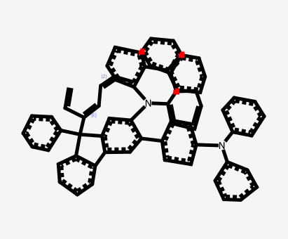 C=C/C(=C\C=C/C)C1(c2ccccc2)c2ccccc2-c2cc(-c3ccc(N(c4ccccc4)c4ccccc4)cc3)c(N(C3=CC=CCC3c3ccccc3)c3ccccc3-c3ccccc3)cc21